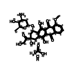 COc1cccc2c1C(=O)c1c(O)c3c(c(O)c1C2=O)C[C@@](O)(C(=O)CO)C[C@@H]3O[C@H]1C[C@H](N)[C@H](O)[C@H](C)O1.Cl.NC(=O)O